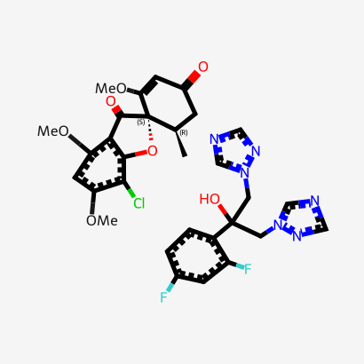 COC1=CC(=O)C[C@@H](C)[C@]12Oc1c(Cl)c(OC)cc(OC)c1C2=O.OC(Cn1cncn1)(Cn1cncn1)c1ccc(F)cc1F